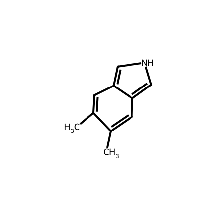 Cc1cc2c[nH]cc2cc1C